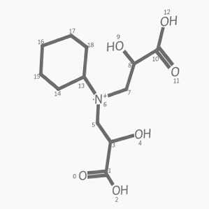 O=C(O)C(O)C[N+](CC(O)C(=O)O)C1CCCCC1